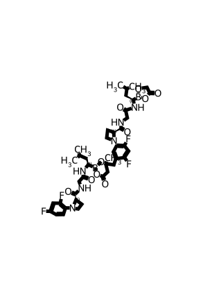 CC(C)C[C@H](NC(=O)CNC(=O)[C@@H]1CCN1c1cc(CC2(C)CC(=O)OB([C@H](CC(C)C)NC(=O)CNC(=O)[C@@H]3CCN3c3ccc(F)cc3F)O2)c(F)cc1F)B1OCC(=O)O1